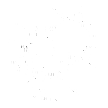 CC(C)C[C@H](NN[C@@H](Cc1ccc(O)cc1)C(=O)NC1Cc2ccccc2CC(C(=O)C(=O)[C@H](CCCCN)NC(=O)[C@H](CCCCN)NC(=O)[C@H](Cc2ccc(O)cc2)NN[C@@H](CCCNC(N)N)C(=O)C(=O)[C@H](CO)NO)NC(=O)[C@H](CC(N)=O)NN[C@@H](CO)C(=O)C(=O)[C@H](CO)NC(=O)[C@H](CC(=O)O)NC(=O)[C@H](CC(=O)O)NC1=O)C(N)=O